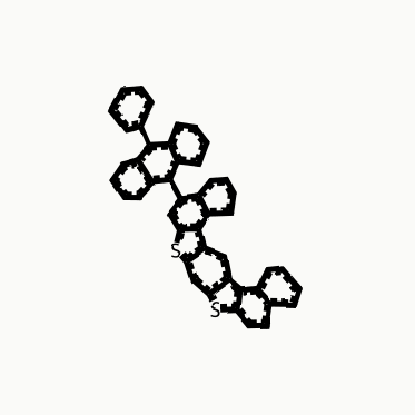 c1ccc(-c2c3ccccc3c(-c3cc4sc5cc6sc7ccc8ccccc8c7c6cc5c4c4ccccc34)c3ccccc23)cc1